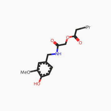 COc1cc(CNC(=O)COC(=O)CC(C)C)ccc1O